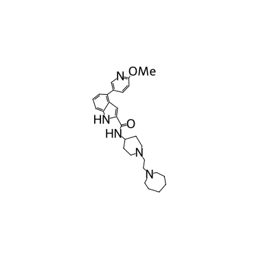 COc1ccc(-c2cccc3[nH]c(C(=O)NC4CCN(CCN5CCCCCC5)CC4)cc23)cn1